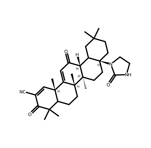 CC1(C)CC[C@]2(N3CCNC3=O)CC[C@]3(C)[C@H](C(=O)C=C4[C@@]5(C)C=C(C#N)C(=O)C(C)(C)C5CC[C@]43C)C2C1